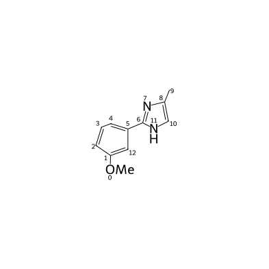 COc1cccc(-c2nc(C)c[nH]2)c1